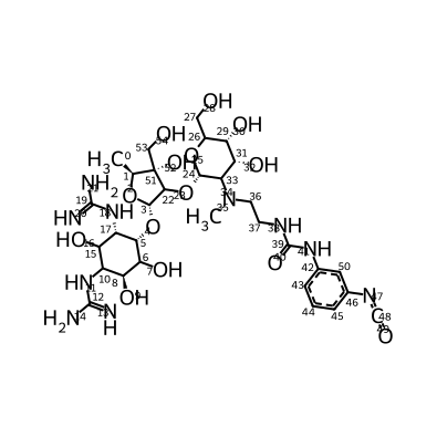 C[C@@H]1O[C@@H](O[C@@H]2C(O)[C@@H](O)C(NC(=N)N)C(O)[C@@H]2NC(=N)N)C(O[C@@H]2OC(CO)[C@H](O)[C@H](O)C2N(C)CCNC(=O)Nc2cccc(N=C=O)c2)[C@]1(O)CO